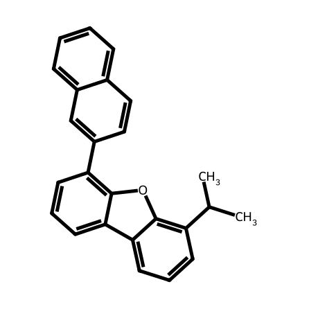 CC(C)c1cccc2c1oc1c(-c3ccc4ccccc4c3)cccc12